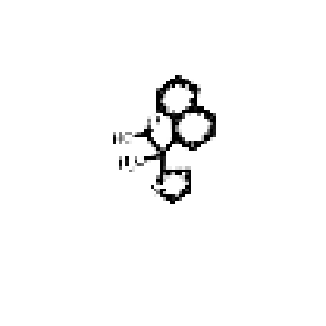 CC(C(=O)O)(c1cccs1)c1cccc2ccccc12